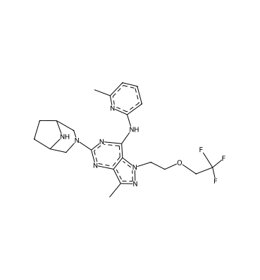 Cc1cccc(Nc2nc(N3CC4CCC(C3)N4)nc3c(C)nn(CCOCC(F)(F)F)c23)n1